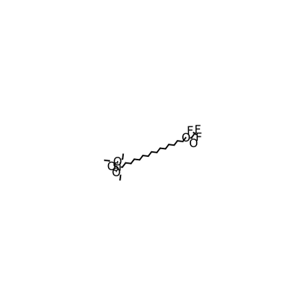 CCO[Si](CCCCCCCCCCCCCCCOC(=O)C(F)(F)F)(OCC)OCC